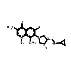 CCn1cc(C(=O)O)c(=O)c2cc(F)c(N3C[C@H](CNC4CC4)[C@H](F)C3)c(OC)c21